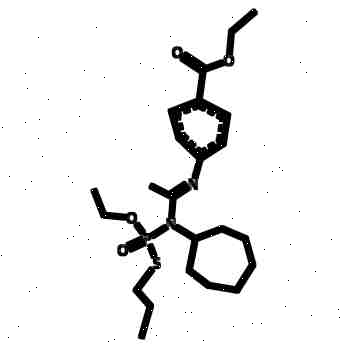 CCCSP(=O)(OCC)N(C(C)=Nc1ccc(C(=O)OCC)cc1)C1CCCCCC1